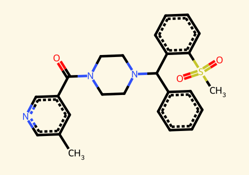 Cc1cncc(C(=O)N2CCN(C(c3ccccc3)c3ccccc3S(C)(=O)=O)CC2)c1